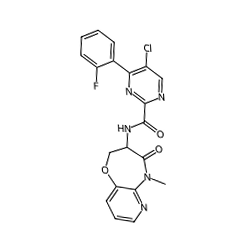 CN1C(=O)C(NC(=O)c2ncc(Cl)c(-c3ccccc3F)n2)COc2cccnc21